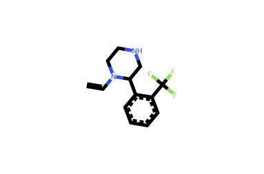 C=CN1CCNCC1c1ccccc1C(F)(F)F